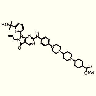 C=CCn1c(=O)c2cnc(Nc3ccc(N4CCN(C5CCN(C6CCC(C(=O)OC)CC6)CC5)CC4)cc3)nc2n1-c1cccc(C(C)(C)O)n1